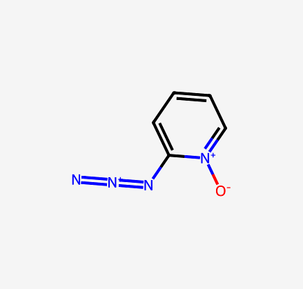 [N-]=[N+]=Nc1cccc[n+]1[O-]